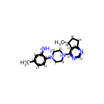 Cc1[c]c(N)c(N2CCN(c3ncnc4c3[C@H](C)CC4)CC2)cc1